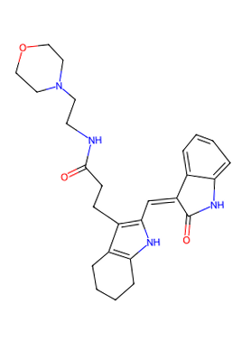 O=C(CCc1c(C=C2C(=O)Nc3ccccc32)[nH]c2c1CCCC2)NCCN1CCOCC1